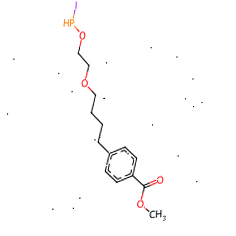 COC(=O)c1ccc(CCCCOCCOPI)cc1